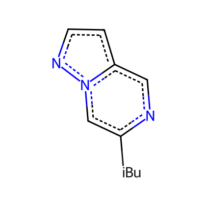 CCC(C)c1cn2nccc2cn1